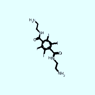 NCCNC(=O)c1c(I)c(I)c(C(=O)NCCN)c(I)c1I